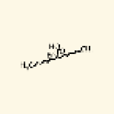 CCCCCCCCC(CC(Br)CCCCCC)OC(=O)O